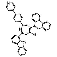 CCC1=C(c2cc3ccccc3c3ccccc23)C=C(c2ccc(-c3ccncc3)cc2)N=C(c2cccc3c2oc2ccccc23)C1